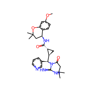 COc1ccc2c(c1)OC(C)(C)C[C@@H]2NC(=O)[C@@H]1C[C@H]1[C@H](c1cccnc1)N1C(=N)NC(C)(C)CC1=O